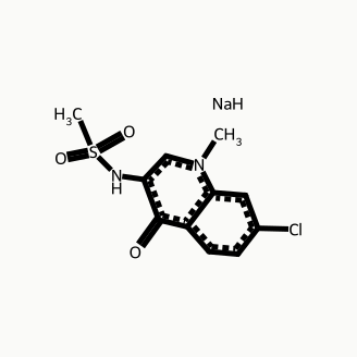 Cn1cc(NS(C)(=O)=O)c(=O)c2ccc(Cl)cc21.[NaH]